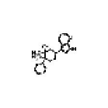 CC1(C)CC(c2c[nH]c3ncccc23)CCC1(N)c1ccccc1